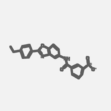 CCc1ccc(-c2nc3cc(NC(=O)c4cccc([N+](=O)[O-])c4)ccc3o2)cc1